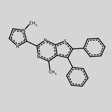 Cc1nc(-c2nccn2C)nc2sc(-c3ccccc3)c(-c3ccccc3)c12